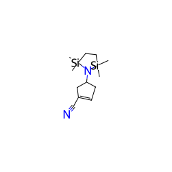 C[Si]1(C)CC[Si](C)(C)N1C1CC=C(C#N)C1